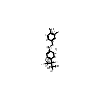 Cc1cc(CNC2=CC=C(C(F)(C(F)(F)F)C(F)(F)F)C[C@H]2C)ccc1N